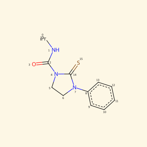 CC(C)NC(=O)N1CCN(c2ccccc2)C1=S